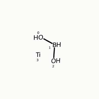 OBO.[Ti]